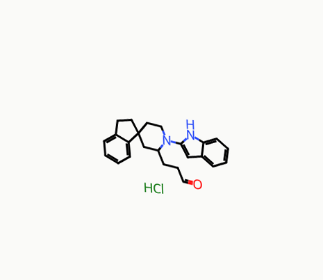 Cl.O=CCCC1CC2(CCc3ccccc32)CCN1c1cc2ccccc2[nH]1